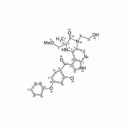 COC[C@]1(C)Nc2c(cnc3[nH]cc(C(=O)c4ccc(Oc5ccccc5)cc4Cl)c23)N(CCO)C1=O